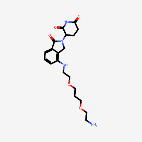 NCCOCCCOCCNc1cccc2c1CN(C1CCC(=O)NC1=O)C2=O